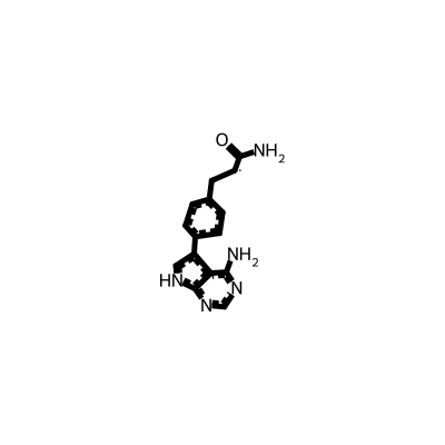 NC(=O)[CH]Cc1ccc(-c2c[nH]c3ncnc(N)c23)cc1